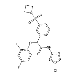 O=C(Nc1ncc(Cl)s1)C(Oc1ccc(F)cc1F)c1cccc(S(=O)(=O)N2CCC2)c1